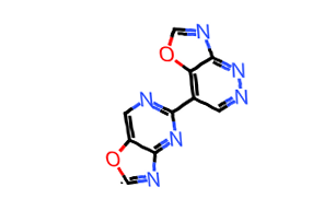 [c]1nc2nc(-c3cnnc4ncoc34)ncc2o1